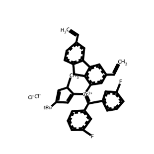 C=Cc1ccc2c(c1)-c1cc(C=C)c[c]([Zr+2]([C]3=CC(C(C)(C)C)=CC3C)=[C](c3cccc(F)c3)c3cccc(F)c3)c1C2.[Cl-].[Cl-]